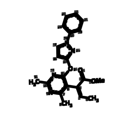 CC=C(C(=O)OC)c1c(C)nc(C)nc1Oc1ccn(-c2ccccc2)n1